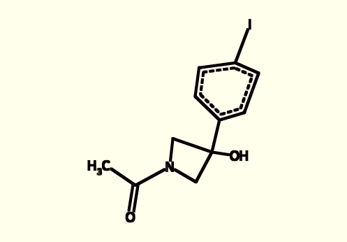 CC(=O)N1CC(O)(c2ccc(I)cc2)C1